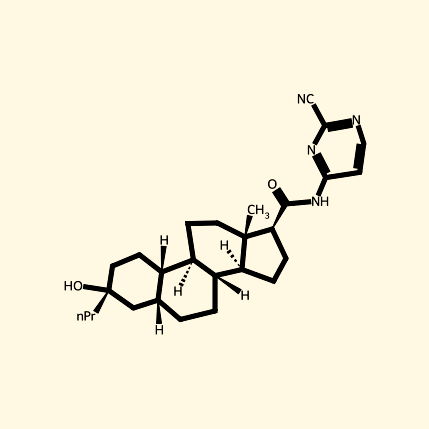 CCC[C@@]1(O)CC[C@H]2[C@H](CC[C@@H]3[C@@H]2CC[C@]2(C)[C@@H](C(=O)Nc4ccnc(C#N)n4)CC[C@@H]32)C1